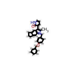 Cc1c(-c2ccc[nH]c2=O)c2cc3c(cc2n1Cc1ccc(OCc2ccccc2)cc1)CCC3